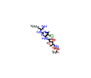 CN/C=C(\C=N)Nc1ncc(Cl)c(NC2COC3C(NS(=O)(=O)CC(C)C)COC23)n1